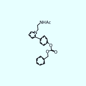 CC(=O)NCCn1cccc1-c1ccc(OC(=O)OCc2ccccc2)cc1